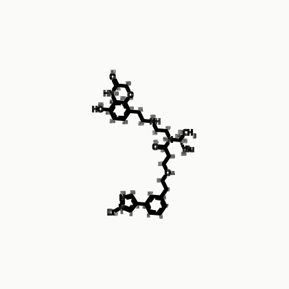 CCn1cc(-c2cccc(CCOCCC(=O)N(CCNCCc3ccc(O)c4c3OCC(=O)N4)[C@H](C)C(C)(C)C)c2)cn1